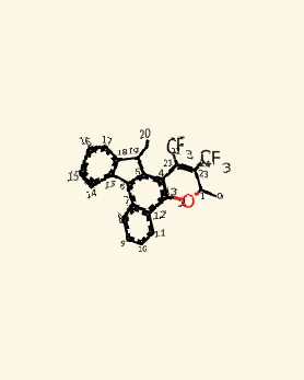 CC1Oc2c(c3c(c4ccccc24)-c2ccccc2C3C)C(C(F)(F)F)=C1C(F)(F)F